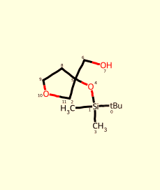 CC(C)(C)[Si](C)(C)OC1(CO)CCOC1